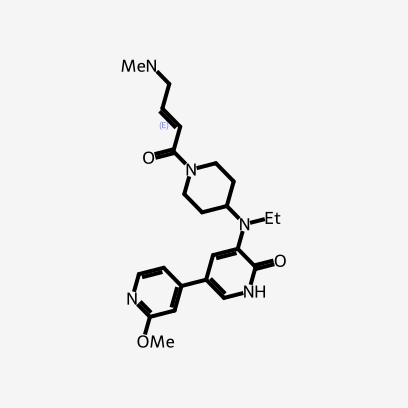 CCN(c1cc(-c2ccnc(OC)c2)c[nH]c1=O)C1CCN(C(=O)/C=C/CNC)CC1